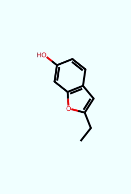 CCc1cc2ccc(O)cc2o1